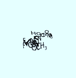 CN1c2nc(C3CCN(C(=O)c4ccon4)CC3O)ccc2N(CC2CC2(F)F)S1(=O)=O